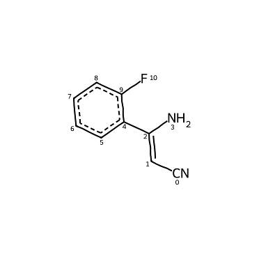 N#CC=C(N)c1ccccc1F